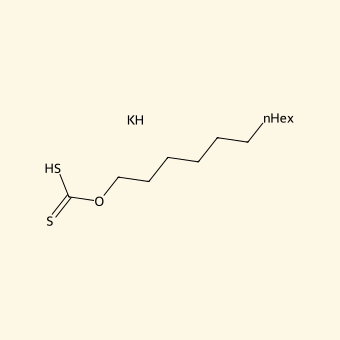 CCCCCCCCCCCCOC(=S)S.[KH]